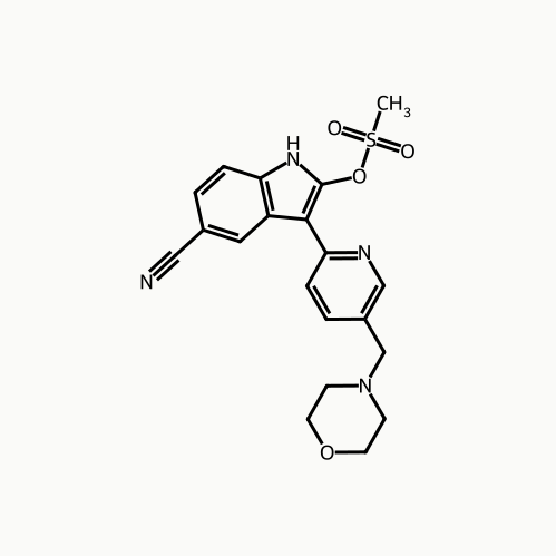 CS(=O)(=O)Oc1[nH]c2ccc(C#N)cc2c1-c1ccc(CN2CCOCC2)cn1